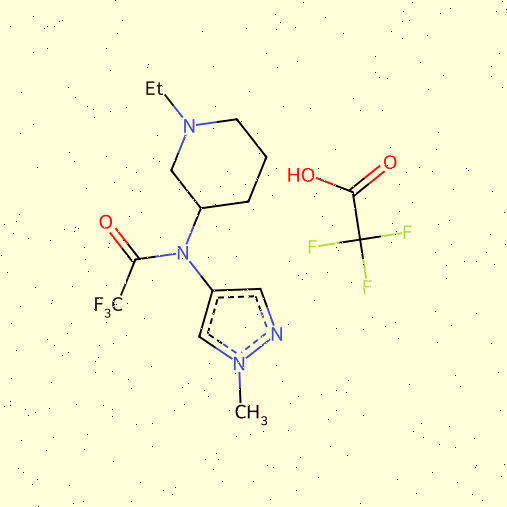 CCN1CCCC(N(C(=O)C(F)(F)F)c2cnn(C)c2)C1.O=C(O)C(F)(F)F